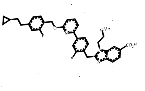 COCCn1c(Cc2ccc(-c3cccc(OCc4ccc(CCC5CC5)cc4F)n3)cc2F)nc2ccc(C(=O)O)cc21